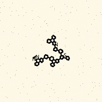 C1=C(c2cccc(-c3ccc4c5ccccc5c5nccnc5c4c3)c2)CCc2c1c1ccccc1c1ccc(-c3cc(-c4cccc(-c5cccc(-c6cc7c8ccccc8c8ccccc8c7cn6)c5)c4)c4sc5ccccc5c4c3)cc21